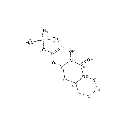 CC(C)(C)OC(=O)OC1CC2CCCCN2C(=O)N1O